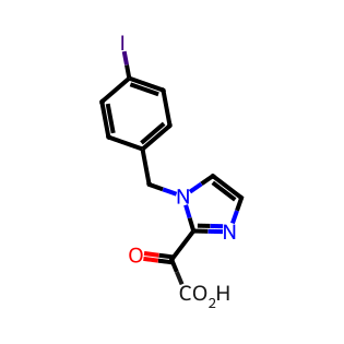 O=C(O)C(=O)c1nccn1Cc1ccc(I)cc1